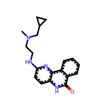 CN(CCNc1ccc2[nH]c(=O)c3ccccc3c2n1)CC1CC1